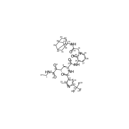 CCNC(=O)C(=O)CC[C@H](NC(=O)c1sc(C(F)(F)F)nc1C)C(=O)Nc1cccn(CC(=O)NC2C3CC4CC(C3)CC2C4)c1=O